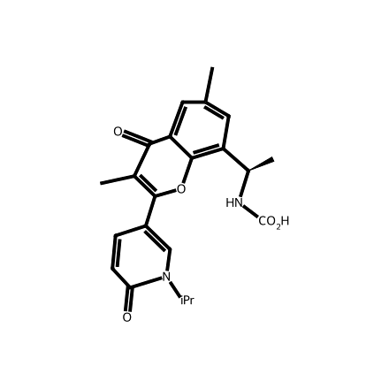 Cc1cc([C@@H](C)NC(=O)O)c2oc(-c3ccc(=O)n(C(C)C)c3)c(C)c(=O)c2c1